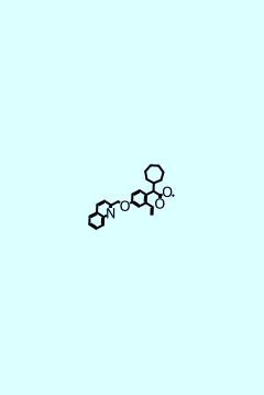 C=Cc1cc(OCc2ccc3ccccc3n2)ccc1C(C(=O)OC)C1CCCCCC1